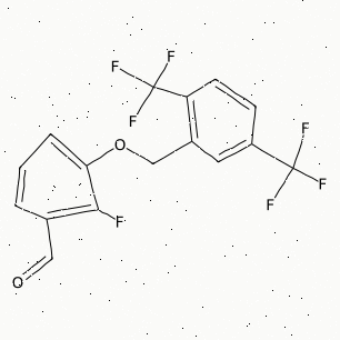 O=Cc1cccc(OCc2cc(C(F)(F)F)ccc2C(F)(F)F)c1F